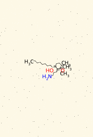 CCCCCCCCC[C@@H]1CCC(C)(C)[C@H](OC)[C@H]1CC(O)CN